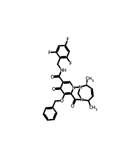 CC1C=C[C@H](C)N2CN1C(=O)c1c(OCc3ccccc3)c(=O)c(C(=O)NCc3c(F)cc(F)cc3F)cn12